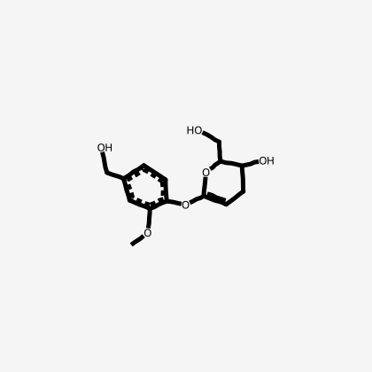 COc1cc(CO)ccc1OC1=CCC(O)C(CO)O1